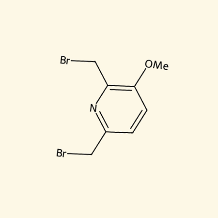 COc1ccc(CBr)nc1CBr